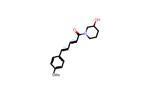 CSc1ccc(/C=C/C=C/C(=O)N2CCCC(O)C2)cc1